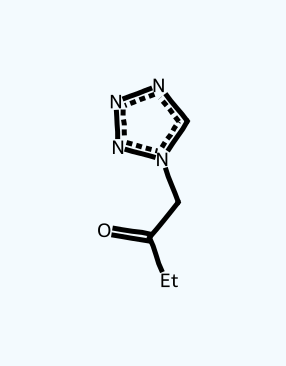 CCC(=O)Cn1cnnn1